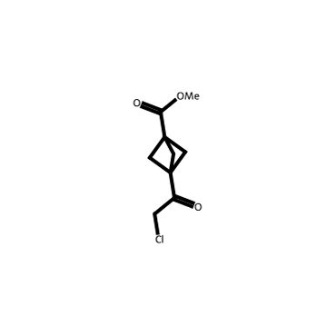 COC(=O)C12CC(C(=O)CCl)(C1)C2